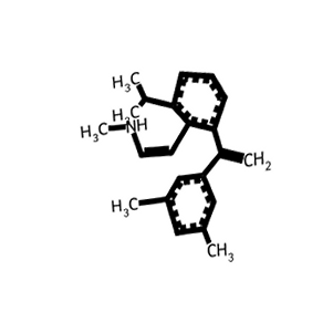 C=C(c1cc(C)cc(C)c1)c1cccc(C(C)C)c1/C=C\NC